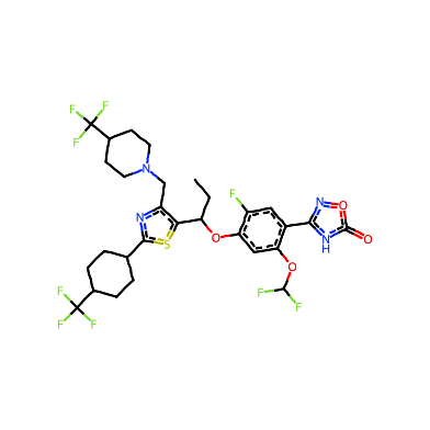 CCC(Oc1cc(OC(F)F)c(-c2noc(=O)[nH]2)cc1F)c1sc(C2CCC(C(F)(F)F)CC2)nc1CN1CCC(C(F)(F)F)CC1